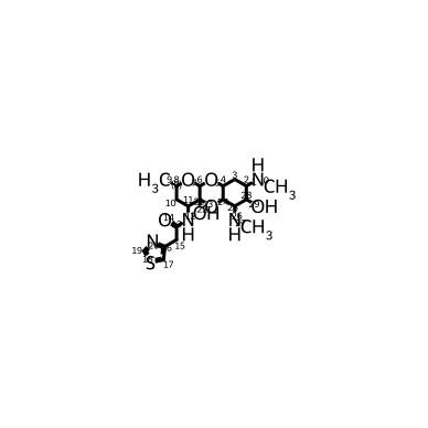 CNC1CC2OC3O[C@H](C)CC(NC(=O)Cc4cscn4)C3(O)OC2C(NC)C1O